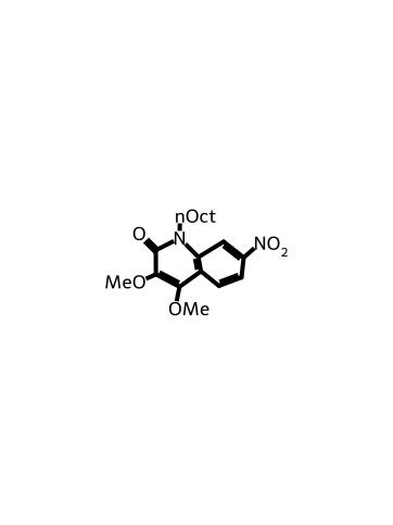 CCCCCCCCn1c(=O)c(OC)c(OC)c2ccc([N+](=O)[O-])cc21